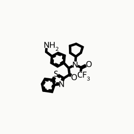 NCc1ccc(C(C(=O)c2nc3ccccc3s2)N(C(=O)C(F)(F)F)C2CCCCC2)cc1